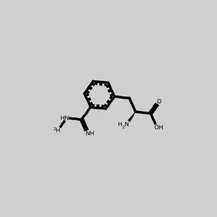 [2H]NC(=N)c1cccc(C[C@H](N)C(=O)O)c1